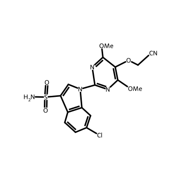 COc1nc(-n2cc(S(N)(=O)=O)c3ccc(Cl)cc32)nc(OC)c1OCC#N